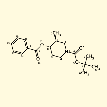 C[C@H]1CN(C(=O)OC(C)(C)C)CC[C@@H]1OC(=O)c1ccccc1